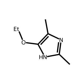 CCOc1[nH]c(C)nc1C